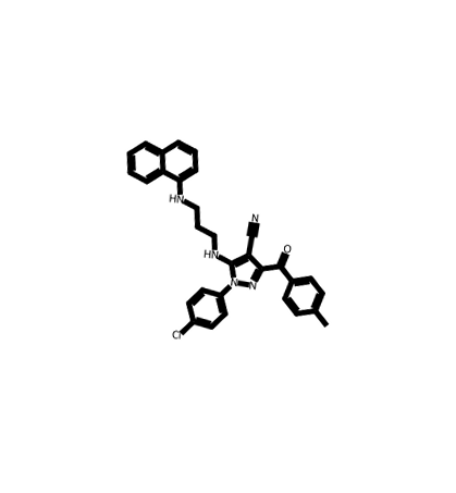 Cc1ccc(C(=O)c2nn(-c3ccc(Cl)cc3)c(NCCCNc3cccc4ccccc34)c2C#N)cc1